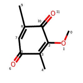 COC1=C(C)C(=O)C=C(C)C1=O